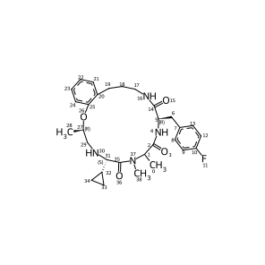 CC1C(=O)N[C@H](Cc2ccc(F)cc2)C(=O)NCCCc2ccccc2O[C@H](C)CN[C@@H](C2CC2)C(=O)N1C